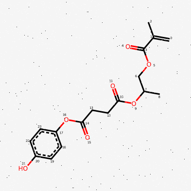 C=C(C)C(=O)OCC(C)OC(=O)CCC(=O)Oc1ccc(O)cc1